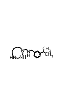 CC(C)c1cccc(CNCN2CCCCCNCNC2)c1